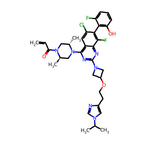 C=CC(=O)N1C[C@H](C)N(c2nc(N3CC(OCCc4cn(C(C)C)cn4)C3)nc3c(F)c(-c4c(O)cccc4F)c(Cl)cc23)C[C@H]1C